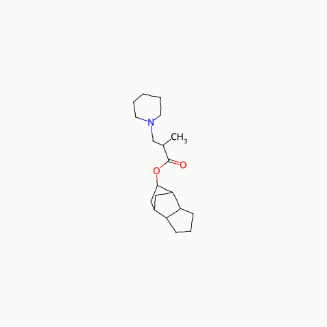 CC(CN1CCCCC1)C(=O)OC1CC2CC1C1CCCC21